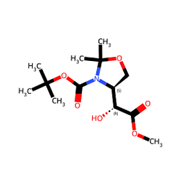 COC(=O)[C@H](O)[C@@H]1COC(C)(C)N1C(=O)OC(C)(C)C